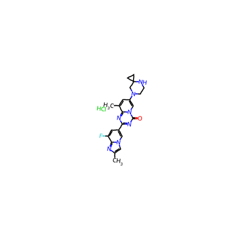 Cc1cn2cc(-c3nc(=O)n4cc(N5CCNC6(CC6)C5)cc(C)c4n3)cc(F)c2n1.Cl